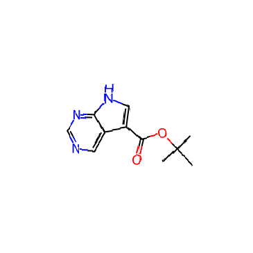 CC(C)(C)OC(=O)c1c[nH]c2ncncc12